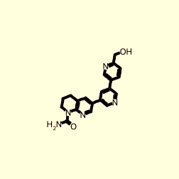 NC(=O)N1CCCc2cc(-c3cncc(-c4ccc(CO)nc4)c3)cnc21